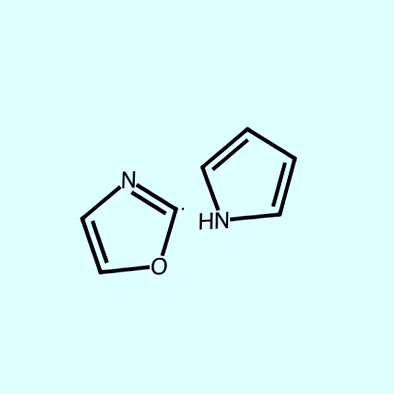 [c]1ncco1.c1cc[nH]c1